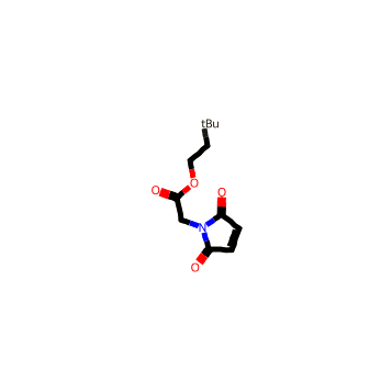 CC(C)(C)CCOC(=O)CN1C(=O)C=CC1=O